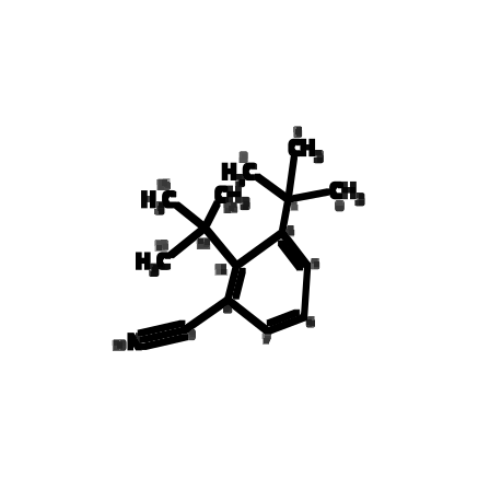 CC(C)(C)c1cccc(C#N)c1C(C)(C)C